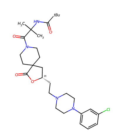 CC(C)(C)C(=O)NC(C)(C)C(=O)N1CCC2(CC1)C[C@H](CCN1CCN(c3cccc(Cl)c3)CC1)OC2=O